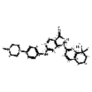 CN1CCN(c2ccc(Nc3ncc4c(=O)[nH]n(-c5ccc6c(n5)C(C)(O)CCC6)c4n3)cc2)CC1